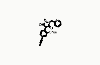 CC#Cc1ccc(C2C(=O)N(C)N(Cc3ccccn3)C2=O)c(OC)c1